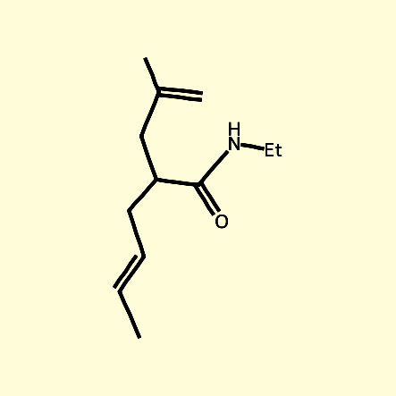 C=C(C)CC(C/C=C/C)C(=O)NCC